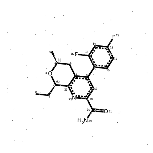 CC[C@H]1O[C@@H](C)Cc2c(-c3ccc(F)cc3F)cc(C(N)=O)nc21